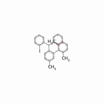 Cc1ccc(C(c2ccccc2)c2ccccc2I)c(-c2c(C)cccc2C)c1